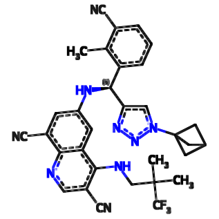 Cc1c(C#N)cccc1[C@H](Nc1cc(C#N)c2ncc(C#N)c(NCC(C)(C)C(F)(F)F)c2c1)c1cn(C23CC(C2)C3)nn1